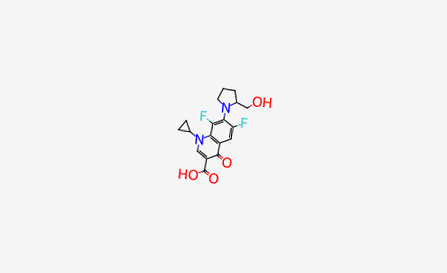 O=C(O)c1cn(C2CC2)c2c(F)c(N3CCCC3CO)c(F)cc2c1=O